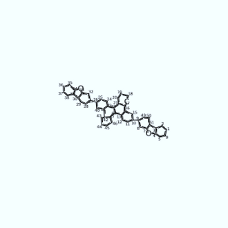 c1ccc2c(c1)oc1cc(-c3ccc4c(c3)c3ccccc3c3c5ccc(-c6ccc7c(c6)oc6ccccc67)cc5c5ccccc5c43)ccc12